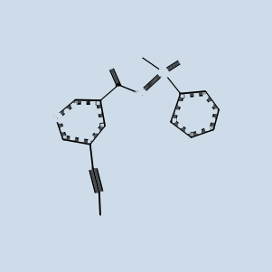 CC#Cc1cncc(C(=O)N=S(C)(=O)c2ccccc2)c1